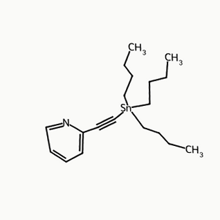 CCC[CH2][Sn]([C]#Cc1ccccn1)([CH2]CCC)[CH2]CCC